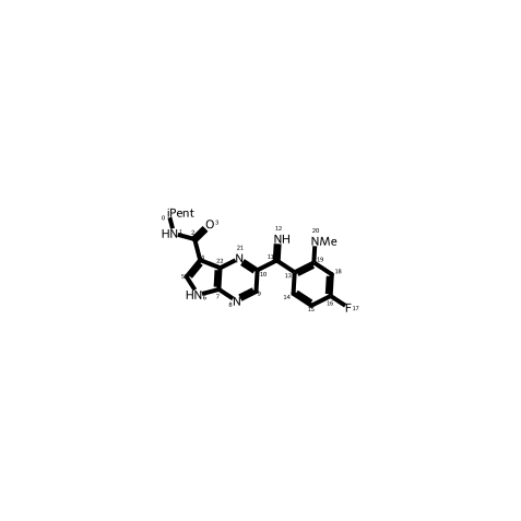 CCCC(C)NC(=O)c1c[nH]c2ncc(C(=N)c3ccc(F)cc3NC)nc12